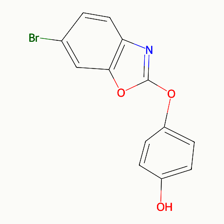 Oc1ccc(Oc2nc3ccc(Br)cc3o2)cc1